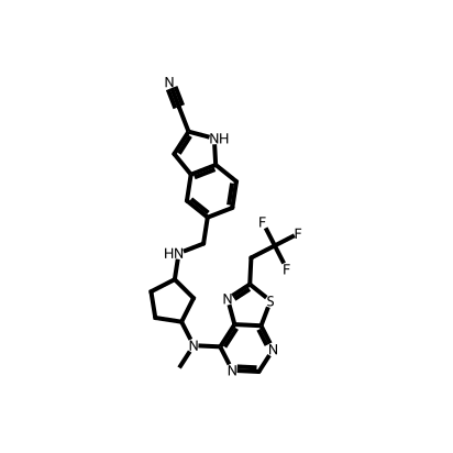 CN(c1ncnc2sc(CC(F)(F)F)nc12)C1CCC(NCc2ccc3[nH]c(C#N)cc3c2)C1